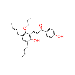 CC=CCc1cc(CC=CC)c(OCCC)c(C=CC(=O)c2ccc(O)cc2)c1O